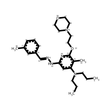 CCCN(CCC)c1cc(N/N=C/c2cccc(C)c2)nc(OCCN2CCOCC2)c1C